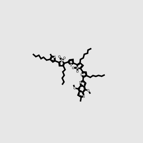 CCCCCCC1=C(c2ccc(C3=C(CCCCCC)C=C(c4cc(CCCCCC)c(-c5cc6c(OC)c7sc(C)cc7c(OC)c6s5)s4)S3(=O)=O)s2)S(=O)(=O)C(c2cc(CCCCCC)c(C)s2)=C1